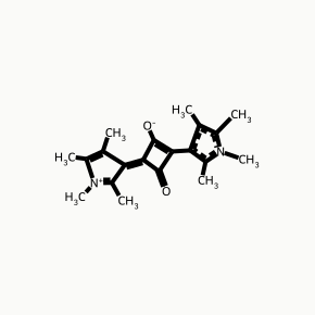 CC1=C(C)[N+](C)=C(C)/C1=C1\C(=O)C(c2c(C)c(C)n(C)c2C)=C1[O-]